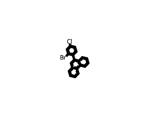 Clc1ccc(-c2cc3ccccc3c3ccccc23)c(Br)c1